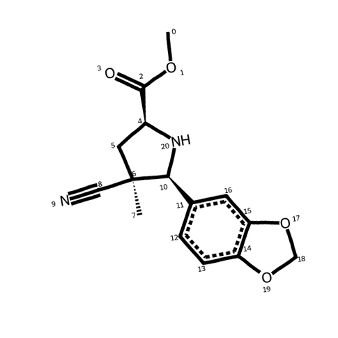 COC(=O)[C@@H]1C[C@](C)(C#N)[C@H](c2ccc3c(c2)OCO3)N1